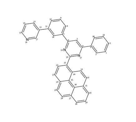 c1ccc(-c2cc(-c3cccc(-c4cccnc4)c3)nc(-c3ccc4ccc5cccc6ccc3c4c56)n2)cc1